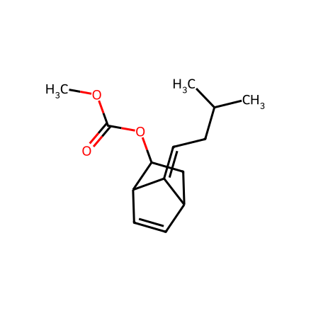 COC(=O)OC1CC2C=CC1C2=CCC(C)C